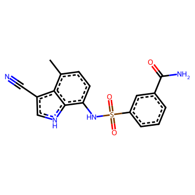 Cc1ccc(NS(=O)(=O)c2cccc(C(N)=O)c2)c2[nH]cc(C#N)c12